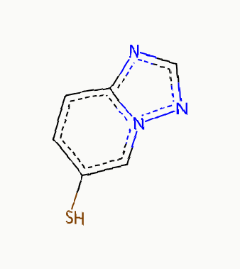 Sc1ccc2ncnn2c1